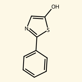 Oc1cnc(-c2ccccc2)s1